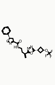 C=C(CCNC(=O)C1=NO[C@@H](c2ccccc2)C1)c1nnc([C@H]2C[C@@H](OC(F)(F)F)C2)o1